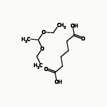 CCOC(C)OCC.O=C(O)CCCCC(=O)O